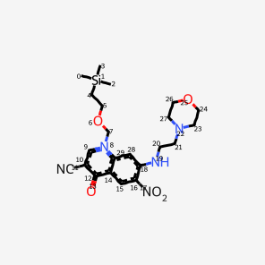 C[Si](C)(C)CCOCn1cc(C#N)c(=O)c2cc([N+](=O)[O-])c(NCCN3CCOCC3)cc21